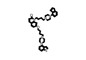 O=c1ccc2ccc(OCCCCN3CCN(c4cccc5sccc45)CC3)cc2n1CCCCN1CCN(c2cccc3c2C=CC3)CC1